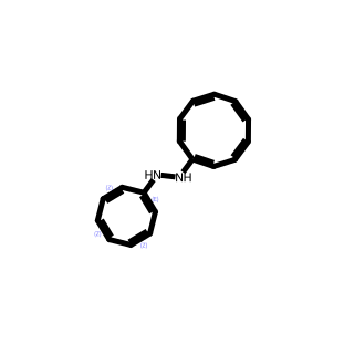 C1=C\C=C/C(NNc2ccccccccc2)=C\C=C/1